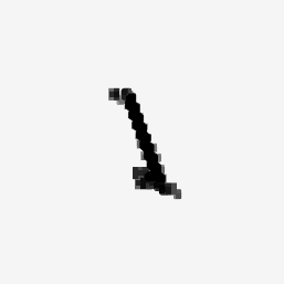 CCCCCCCCCCCCCCCCC(COC)C(O)S